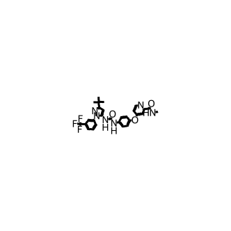 CNC(=O)c1cc(Oc2ccc(NC(=O)Nc3cc(C(C)(C)C)nn3-c3cccc(C(F)(F)F)c3)cc2)ccn1